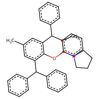 CCC(Oc1c(C(c2ccccc2)c2ccccc2)cc(C)cc1C(c1ccccc1)c1ccccc1)N1CCCC1